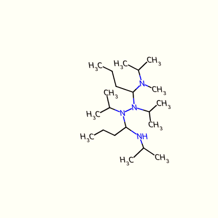 CCCC(NC(C)C)N(C(C)C)N(C(C)C)C(CCC)N(C)C(C)C